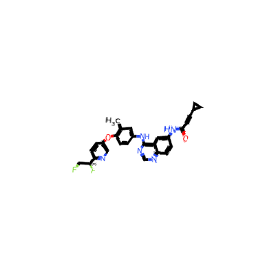 Cc1cc(Nc2ncnc3ccc(NC(=O)C#CC4CC4)cc23)ccc1Oc1ccc([C@@H](F)CF)nc1